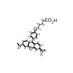 CN(C)c1ccc2c(-c3ccc(OCCCCC(=O)O)cc3)c3ccc(=[N+](C)C)cc-3oc2c1